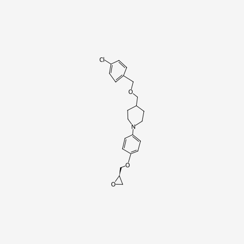 Clc1ccc(COCC2CCN(c3ccc(OC[C@H]4CO4)cc3)CC2)cc1